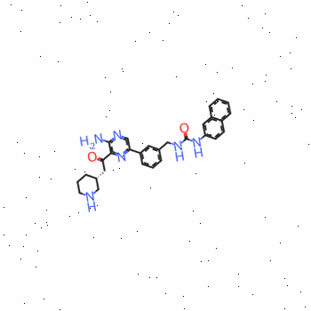 Nc1ncc(-c2cccc(CNC(=O)Nc3ccc4ccccc4c3)c2)nc1C(=O)C[C@H]1CCCNC1